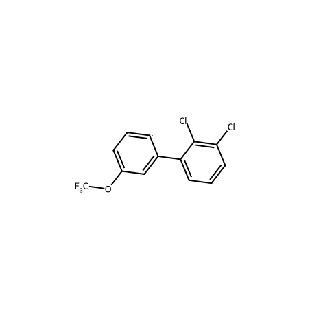 FC(F)(F)Oc1cc[c]c(-c2cccc(Cl)c2Cl)c1